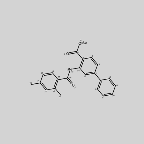 COC(=O)c1ccc(-c2ccccc2)cc1NC(=O)c1ccc(C)cc1C